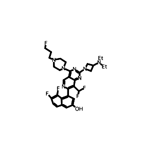 CCN(CC)C1CN(c2nc(N3CCN(CCCF)CC3)c3cnc(-c4cc(O)cc5ccc(F)c(F)c45)c(C(F)F)c3n2)C1